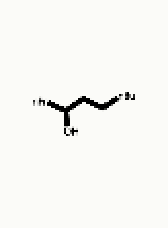 CCCCCCC(O)CCC